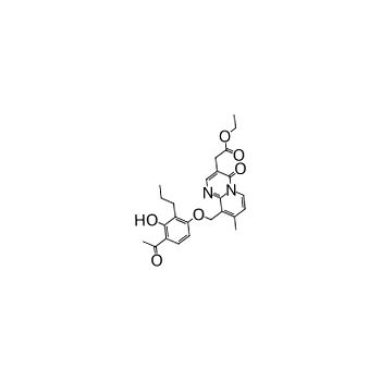 CCCc1c(OCc2c(C)ccn3c(=O)c(CC(=O)OCC)cnc23)ccc(C(C)=O)c1O